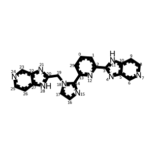 c1cc(-c2nc3cnccc3[nH]2)nc(-c2nccn2Cc2nc3cnccc3[nH]2)c1